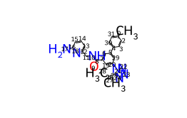 Cc1ccc(-c2cc(C(=O)NCc3cccc(N)n3)cc(-n3nnnc3C(C)C)c2)cc1